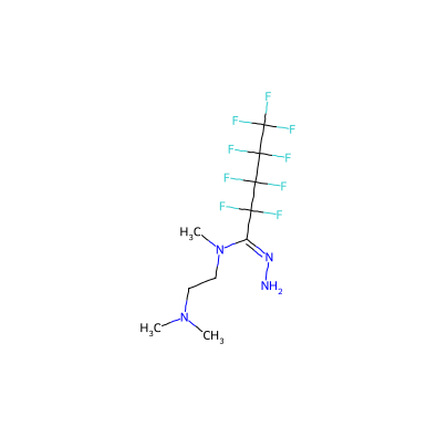 CN(C)CCN(C)/C(=N\N)C(F)(F)C(F)(F)C(F)(F)C(F)(F)F